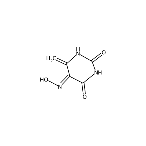 C=C1NC(=O)NC(=O)/C1=N/O